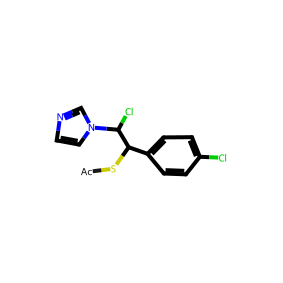 CC(=O)SC(c1ccc(Cl)cc1)C(Cl)n1ccnc1